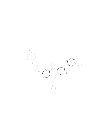 CN1CCN(CC(=O)Nc2cc(Nc3cc(-c4cc(Cl)ccc4F)nnc3SCCO)ccn2)CC1